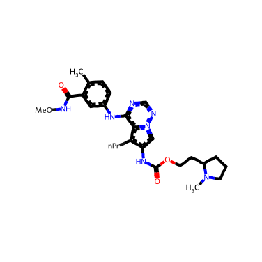 CCCc1c(NC(=O)OCCC2CCCN2C)cn2ncnc(Nc3ccc(C)c(C(=O)NOC)c3)c12